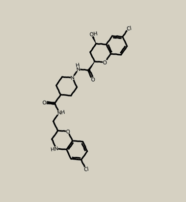 O=C(NCC1CNc2cc(Cl)ccc2O1)C1CCN(NC(=O)[C@H]2C[C@@H](O)c3cc(Cl)ccc3O2)CC1